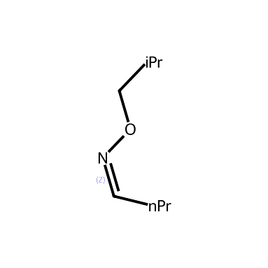 [CH2]CC/C=N\OCC(C)C